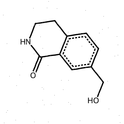 O=C1NCCc2ccc(CO)cc21